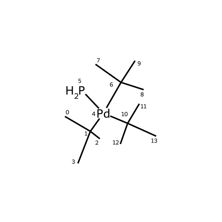 C[C](C)(C)[Pd]([PH2])([C](C)(C)C)[C](C)(C)C